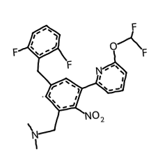 CN(C)Cc1[c]c(Cc2c(F)cccc2F)cc(-c2cccc(OC(F)F)n2)c1[N+](=O)[O-]